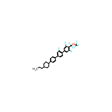 CCCC1CCC(c2ccc(-c3ccc(-c4cc(F)c(C(F)(F)OC(F)(F)F)c(F)c4)c(F)c3)cc2)CC1